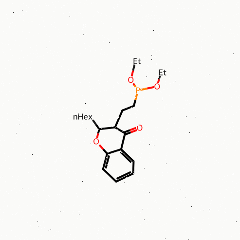 CCCCCCC1Oc2ccccc2C(=O)C1CCP(OCC)OCC